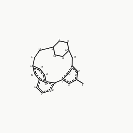 Cc1cc2cc(c1)-c1nccc3cc(ccc13)CCC1CCC(CC1)C2